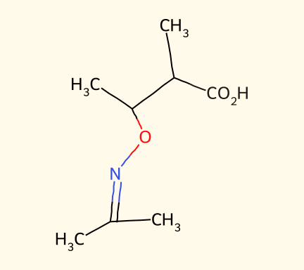 CC(C)=NOC(C)C(C)C(=O)O